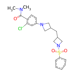 CN(C)C(=O)c1ccc(N2CC(CC3CN(S(=O)(=O)c4ccccc4)C3)C2)cc1Cl